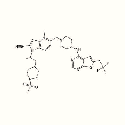 Cc1c(CN2CCC(Nc3ncnc4sc(CC(F)(F)F)cc34)CC2)ccc2c1cc(C#N)n2C(C)CN1CCN(S(C)(=O)=O)CC1